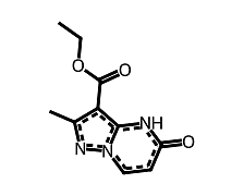 CCOC(=O)c1c(C)nn2ccc(=O)[nH]c12